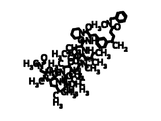 C=C(CCC(=O)N(C)Cc1ccccc1)c1cccc(CC(NC(=O)C(COC(C)(C)C)NC(=O)[C@H]([C@@H](C)CC)N(C)C(=O)[C@H](CC(C)C)N(C)C(=O)C(C)N(C)C(=O)[C@H]([C@@H](C)O)N2C(=O)C(N(C)C(=O)CN(C)C=O)CC2C(C)C)C(=O)N2CCCCC2)c1